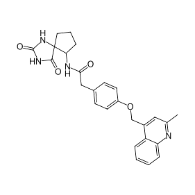 Cc1cc(COc2ccc(CC(=O)NC3CCCC34NC(=O)NC4=O)cc2)c2ccccc2n1